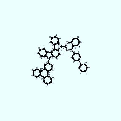 c1ccc(-c2ccc(-c3nc(-n4c5ccccc5c5c6c7ccccc7n(-c7ccc8c9ccccc9c9ccccc9c8c7)c6ccc54)nc4ccccc34)cc2)cc1